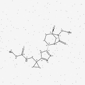 CCCCON1C(=O)N2C[C@@H]1CC[C@H]2c1nnc(C2(CNC(=O)OC(C)(C)C)CC2)o1